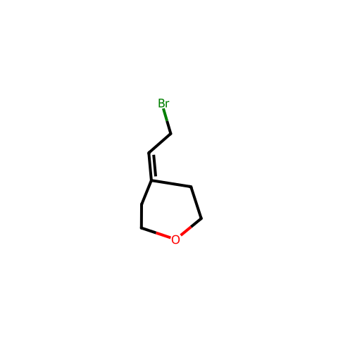 BrCC=C1CCOCC1